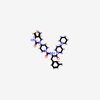 Cc1cccc(CC(NC(=O)N2CCC(N3Cc4cscc4NC3=O)CC2)C(=O)N2CCC(N3CCCCC3)CC2)c1